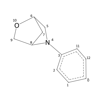 [c]1ccc(N2CC3CC2CO3)cc1